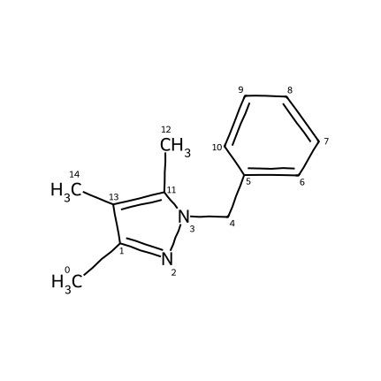 Cc1nn(Cc2ccccc2)c(C)c1C